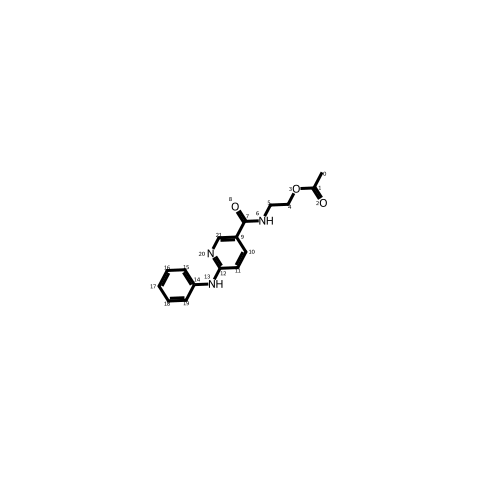 CC(=O)OCCNC(=O)c1ccc(Nc2ccccc2)nc1